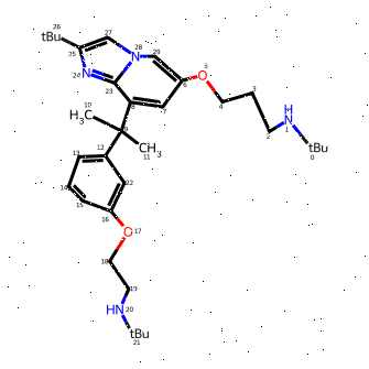 CC(C)(C)NCCCOc1cc(C(C)(C)c2cccc(OCCNC(C)(C)C)c2)c2nc(C(C)(C)C)cn2c1